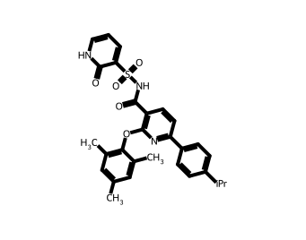 Cc1cc(C)c(Oc2nc(-c3ccc(C(C)C)cc3)ccc2C(=O)NS(=O)(=O)c2ccc[nH]c2=O)c(C)c1